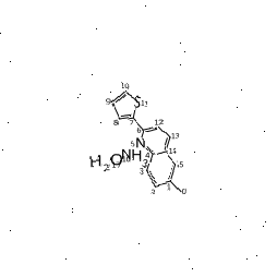 Cc1ccc2nc(-c3cccs3)ccc2c1.N.O